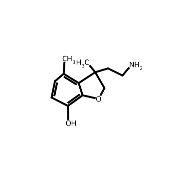 Cc1ccc(O)c2c1C(C)(CCN)CO2